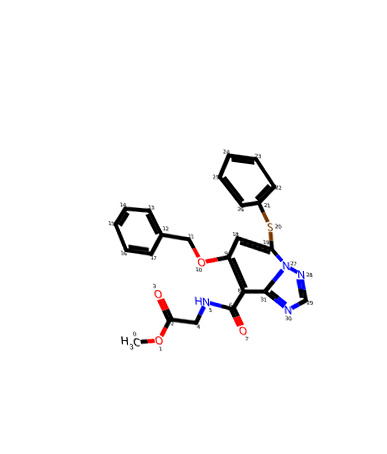 COC(=O)CNC(=O)c1c(OCc2ccccc2)cc(Sc2ccccc2)n2ncnc12